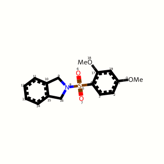 COc1ccc(S(=O)(=O)N2Cc3ccccc3C2)c(OC)c1